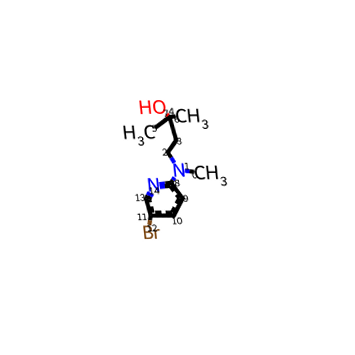 CN(CCC(C)(C)O)c1ccc(Br)cn1